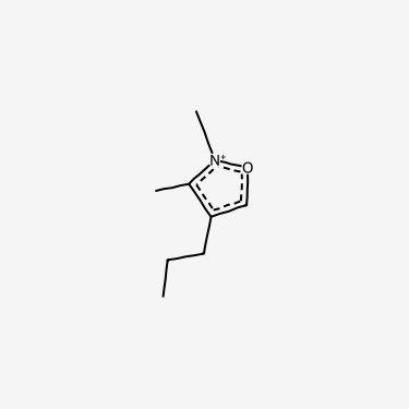 CCCc1co[n+](C)c1C